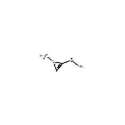 CN1C=C1SN